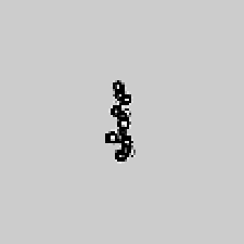 c1ccc2c(c1)oc1ccc3c(c4ccccc4n3-c3ccc4oc5c(-c6cccc7c6sc6ccccc67)cccc5c4c3)c12